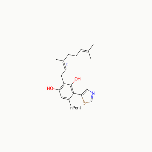 CCCCCc1cc(O)c(C/C=C(\C)CCC=C(C)C)c(O)c1-c1cncs1